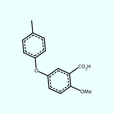 COc1ccc(Oc2ccc(C)cc2)cc1C(=O)O